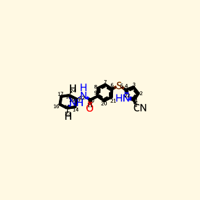 N#Cc1ccc(Sc2ccc(C(=O)N[C@@H]3C[C@H]4CC[C@@H]3N4)cc2)[nH]1